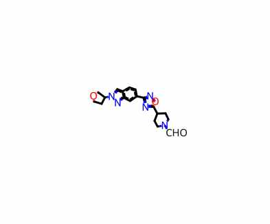 O=CN1CCC(c2nc(-c3ccc4cn(C5CCOC5)nc4c3)no2)CC1